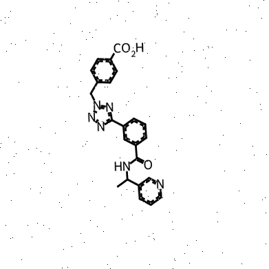 CC(NC(=O)c1cccc(-c2nnn(Cc3ccc(C(=O)O)cc3)n2)c1)c1cccnc1